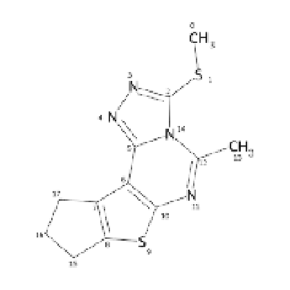 CSc1nnc2c3c4c(sc3nc(C)n12)CCC4